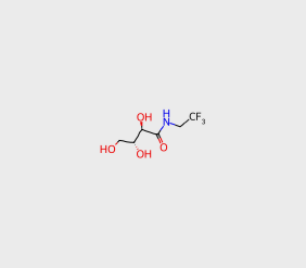 O=C(NCC(F)(F)F)[C@H](O)[C@H](O)CO